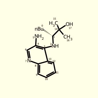 CCCC[C@@H](Nc1c(N)cnc2ccccc12)C(C)(C)O